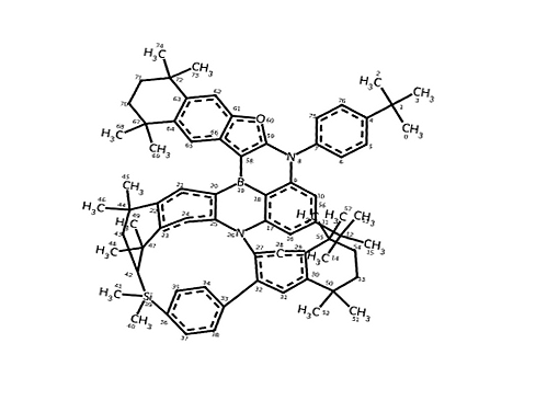 CC(C)(C)c1ccc(N2c3cc(C(C)(C)C)cc4c3B(c3cc5c6cc3N4c3cc4c(cc3-c3ccc(cc3)[Si](C)(C)C(CC5(C)C)C6(C)C)C(C)(C)CCC4(C)C)c3c2oc2cc4c(cc32)C(C)(C)CCC4(C)C)cc1